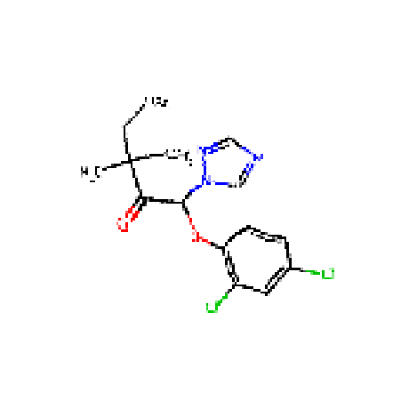 CC(=O)OCC(C)(C)C(=O)C(Oc1ccc(Cl)cc1Cl)n1cncn1